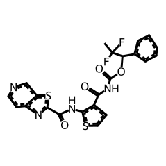 CC(F)(F)C(OC(=O)NC(=O)c1ccsc1NC(=O)c1nc2ccncc2s1)c1ccccc1